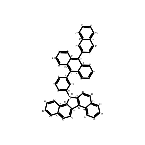 c1cc(-c2c3ccccc3c(-c3ccc4ccccc4c3)c3ccccc23)cc(-n2c3ccc4ccccc4c3c3ccc4ccccc4c32)c1